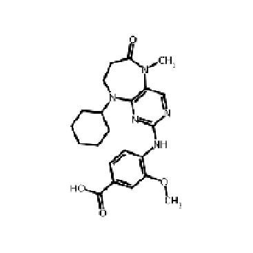 COc1cc(C(=O)O)ccc1Nc1ncc2c(n1)N(C1CCCCC1)CCC(=O)N2C